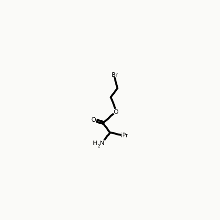 CC(C)C(N)C(=O)OCCBr